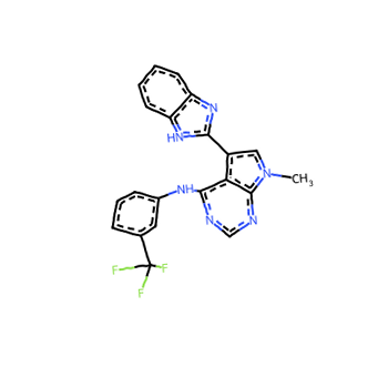 Cn1cc(-c2nc3ccccc3[nH]2)c2c(Nc3cccc(C(F)(F)F)c3)ncnc21